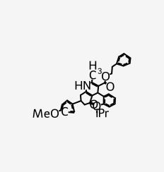 COc1ccc(C2CC(=O)C3=C(C2)NC(C)=C(C(=O)OCCc2ccccc2)C3c2ccccc2OC(C)C)cc1